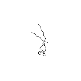 CCCCCCC(C)(CCCCC)N1CCS(=O)(=O)CC1